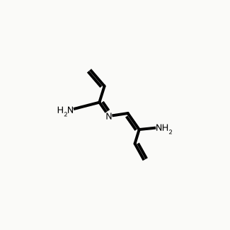 C=C/C(N)=C\N=C(\N)C=C